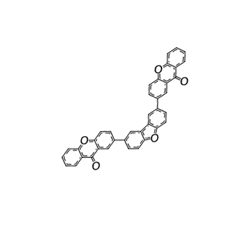 O=c1c2ccccc2oc2ccc(-c3ccc4oc5ccc(-c6ccc7oc8ccccc8c(=O)c7c6)cc5c4c3)cc12